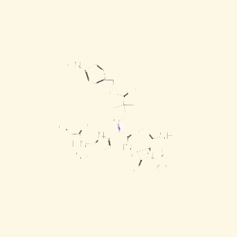 CC(C)(O/N=C(\C(=O)N[C@H]1C(=O)N(S(=O)(=O)[O-])[C@H]1C(N)=O)c1csc(NC(=O)CCl)n1)C(=O)OCc1ccc([N+](=O)[O-])cc1.[Na+]